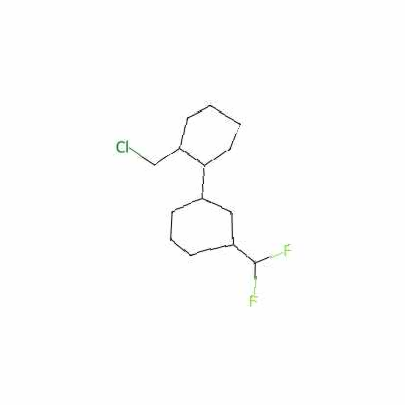 FC(F)C1CCCC(C2CCCCC2CCl)C1